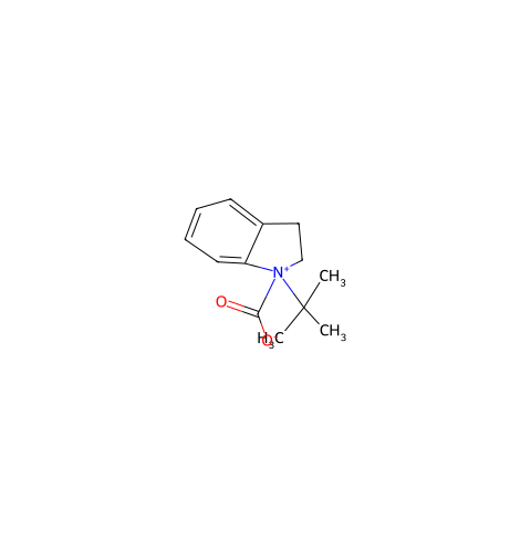 CC(C)(C)[N+]1(C(=O)[O-])CCc2ccccc21